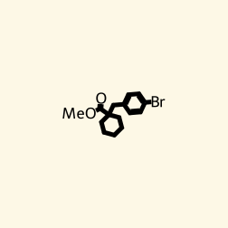 COC(=O)C1(Cc2ccc(Br)cc2)CCCCC1